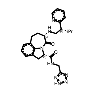 CC(C)[C@H](CN[C@H]1CCc2cccc3c2N(C1=O)[C@H](C(=O)NCc1nn[nH]n1)C3)c1ccccn1